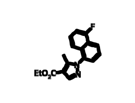 CCOC(=O)c1cnn(-c2cccc3c(F)cccc23)c1C